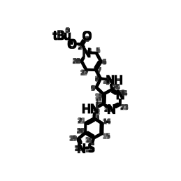 CC(C)(C)OC(=O)N1CC=C(C2Cc3c(Nc4ccc5sncc5c4)ncnc3N2)CC1